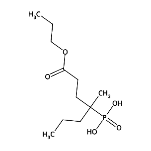 CCCOC(=O)CCC(C)(CCC)P(=O)(O)O